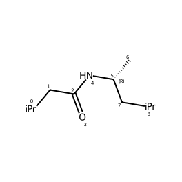 CC(C)CC(=O)N[C@H](C)CC(C)C